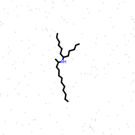 CCCCCCCCCCC(C)NC(CCCCC)CCCCCC